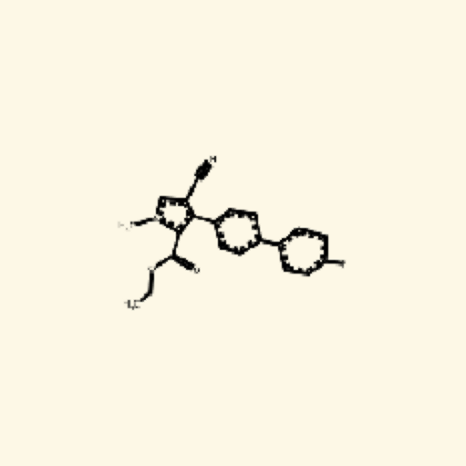 CCOC(=O)c1c(-c2ccc(-c3ccc(F)cc3)cc2)c(C#N)cn1C